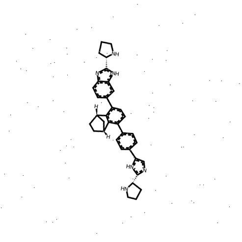 c1cc(-c2ccc(-c3ccc4nc([C@@H]5CCCN5)[nH]c4c3)c3c2[C@@H]2CC[C@H]3C2)ccc1-c1cnc([C@@H]2CCCN2)[nH]1